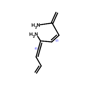 C=C/C=C(N)\C=C/C(=C)N